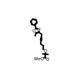 COC(=O)C(C)(C)OCCCC#CCc1nc(-c2ccccc2)oc1C